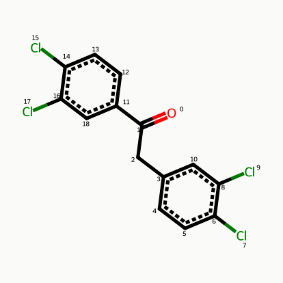 O=C(Cc1ccc(Cl)c(Cl)c1)c1ccc(Cl)c(Cl)c1